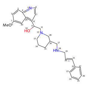 COc1ccc2nccc(C(O)CN3CCCC(CNC/C=C/c4ccccc4)C3)c2c1